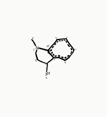 CN1CC(S)c2ccccc21